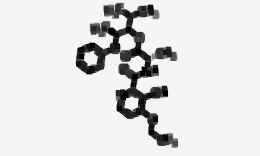 CCOc1ccnc(C(=O)N[C@@H](C)C(=O)OC(C(C)C)[C@H](C)Oc2ccccc2)c1O